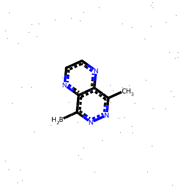 Bc1nnc(C)c2nccnc12